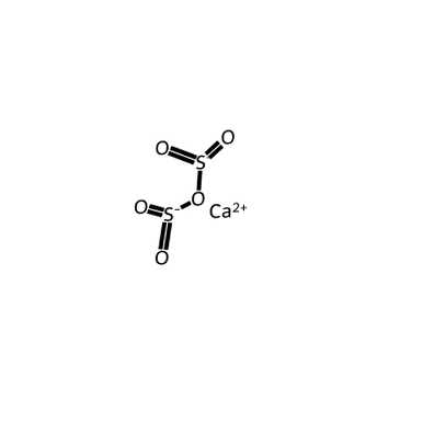 O=[S-](=O)O[S-](=O)=O.[Ca+2]